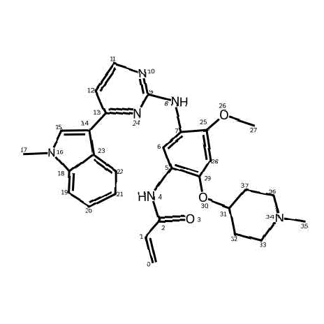 C=CC(=O)Nc1cc(Nc2nccc(-c3cn(C)c4ccccc34)n2)c(OC)cc1OC1CCN(C)CC1